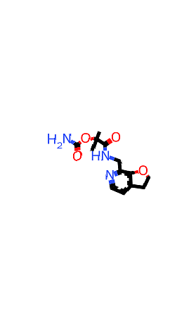 CC(C)(OC(N)=O)C(=O)NCc1nccc2c1OCC2